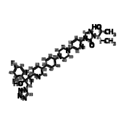 CC[C@@H]([C@H](C)O)n1ncn(-c2ccc(N3CCN(c4ccc(-c5ccc(C(F)(F)[C@](O)(Cn6cnnn6)c6ccc(F)cc6F)nc5)cc4)CC3)cn2)c1=O